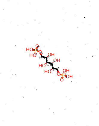 O=P(O)(O)OC[C@@H](O)[C@@H](O)[C@@H](O)[C@@H](O)COP(=O)(O)O